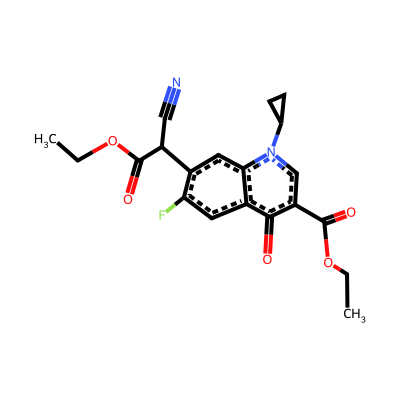 CCOC(=O)c1cn(C2CC2)c2cc(C(C#N)C(=O)OCC)c(F)cc2c1=O